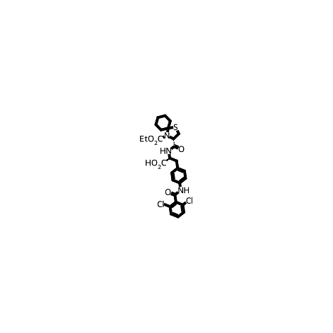 CCOC(=O)N1[C@@H](C(=O)N[C@@H](Cc2ccc(NC(=O)c3c(Cl)cccc3Cl)cc2)C(=O)O)CSC12CCCCC2